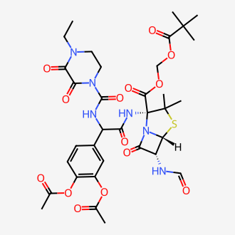 CCN1CCN(C(=O)NC(C(=O)N[C@@]2(C(=O)OCOC(=O)C(C)(C)C)N3C(=O)[C@@H](NC=O)[C@H]3SC2(C)C)c2ccc(OC(C)=O)c(OC(C)=O)c2)C(=O)C1=O